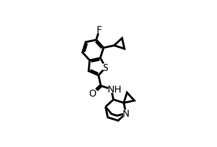 O=C(NC1C2CCN(CC2)C12CC2)c1cc2ccc(F)c(C3CC3)c2s1